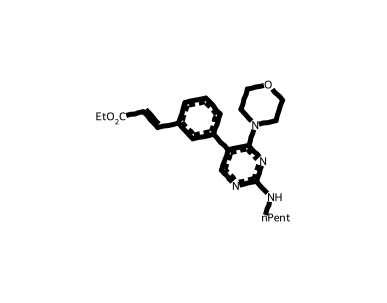 CCCCCNc1ncc(-c2cccc(C=CC(=O)OCC)c2)c(N2CCOCC2)n1